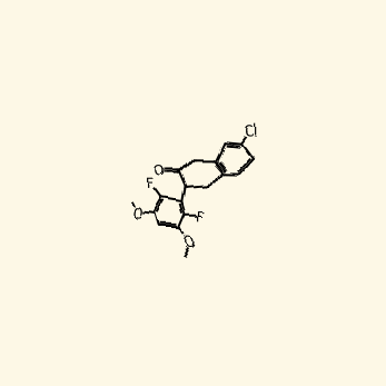 COc1cc(OC)c(F)c(C2Cc3ccc(Cl)cc3CC2=O)c1F